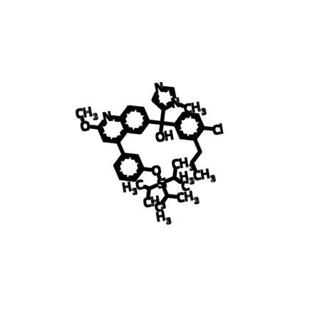 CCCc1cc(C(O)(c2ccc3nc(OC)cc(-c4cccc(O[Si](C(C)C)(C(C)C)C(C)C)c4)c3c2)c2cncn2C)ccc1Cl